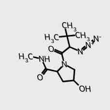 CNC(=O)C1CC(O)CN1C(=O)C(N=[N+]=[N-])C(C)(C)C